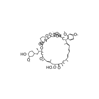 COc1ccc([C@@H]2C[C@@H]3CC[C@@H](C)[C@@](O)(O3)C(=O)C(=O)N3CCCC[C@H]3C(=O)O[C@H]([C@H](C)C[C@@H]3CC[C@@H](O)[C@H](OC)C3)CC(=O)[C@H](C)/C=C(\C)[C@@H](O)[C@@H](OC)C(=O)[C@H](C)C[C@H](C)/C=C/C=C/C=C/2C)c(OC)c1